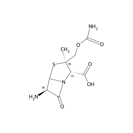 C[C@@]1(COC(N)=O)SC2[C@H](N)C(=O)N2[C@H]1C(=O)O